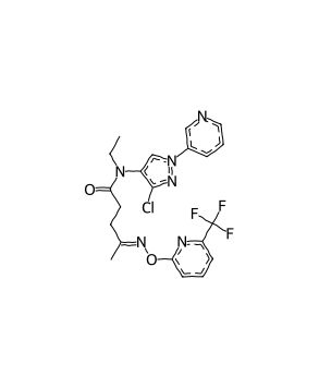 CCN(C(=O)CC/C(C)=N/Oc1cccc(C(F)(F)F)n1)c1cn(-c2cccnc2)nc1Cl